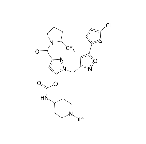 CC(C)N1CCC(NC(=O)Oc2cc(C(=O)N3CCCC3C(F)(F)F)nn2Cc2cc(-c3ccc(Cl)s3)on2)CC1